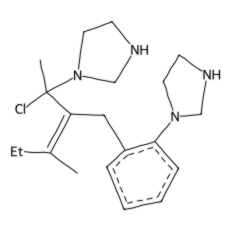 CCC(C)=C(Cc1ccccc1N1CCNC1)C(C)(Cl)N1CCNC1